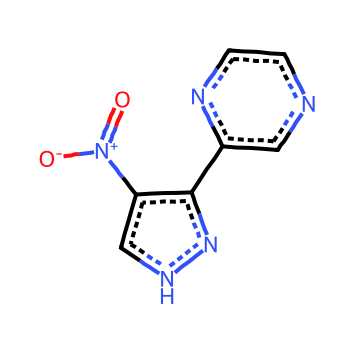 O=[N+]([O-])c1c[nH]nc1-c1cnccn1